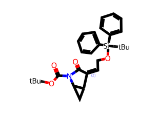 CC(C)(C)OC(=O)N1C(=O)/C(=C\CO[Si](c2ccccc2)(c2ccccc2)C(C)(C)C)C2CC21